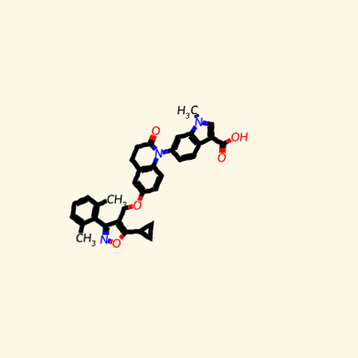 Cc1cccc(C)c1-c1noc(C2CC2)c1COc1ccc2c(c1)CCC(=O)N2c1ccc2c(C(=O)O)cn(C)c2c1